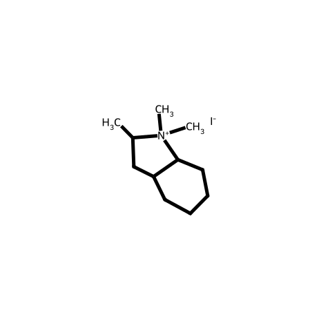 CC1CC2CCCCC2[N+]1(C)C.[I-]